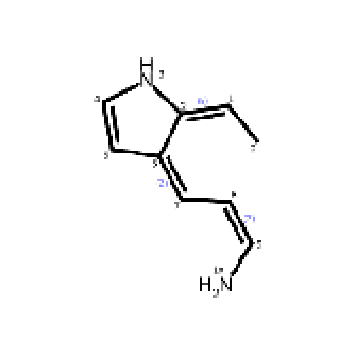 C/C=c1/[nH]cc/c1=C/C=C\N